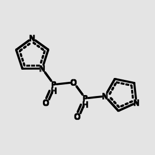 O=[PH](O[PH](=O)n1ccnc1)n1ccnc1